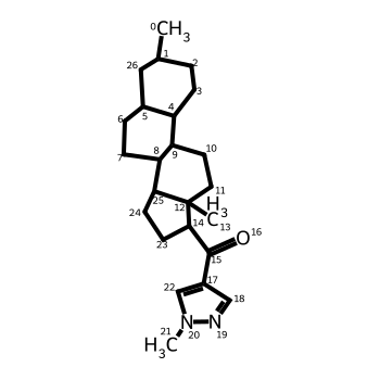 CC1CCC2C(CCC3C2CCC2(C)C(C(=O)c4cnn(C)c4)CCC32)C1